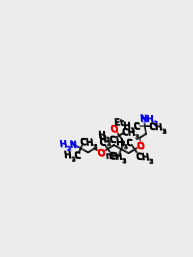 CCCC(CC(C)(C)OCC)(CC(C)(C)OCCC(C)(C)N)CC(C)(C)OCCC(C)(C)N